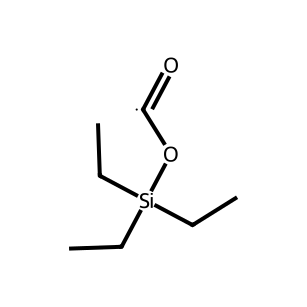 CC[Si](CC)(CC)O[C]=O